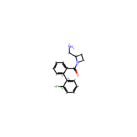 NCC1CCN1C(=O)c1ccccc1-c1ccccc1F